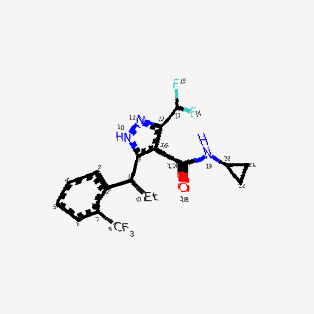 CCC(c1ccccc1C(F)(F)F)c1[nH]nc(C(F)F)c1C(=O)NC1CC1